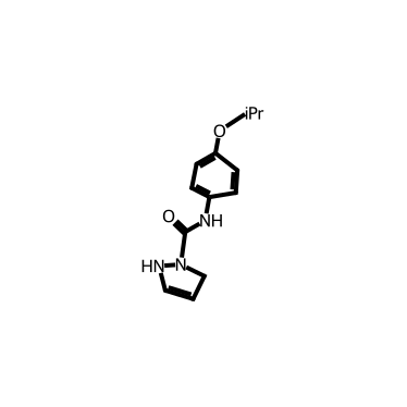 CC(C)Oc1ccc(NC(=O)N2CC=CN2)cc1